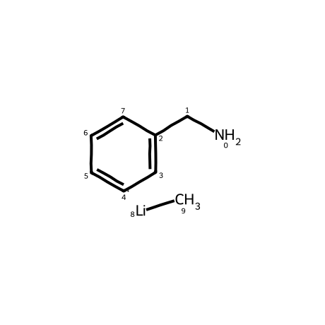 NCc1c[c]ccc1.[Li][CH3]